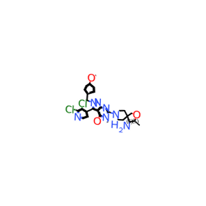 COc1ccc(Cn2nc3nc(N4CCC5(CC4)CO[C@@H](C)[C@H]5N)n(C)c(=O)c3c2-c2ccnc(Cl)c2Cl)cc1